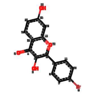 O=c1c(O)c(-c2ccc(Br)cc2)oc2cc(O)ccc12